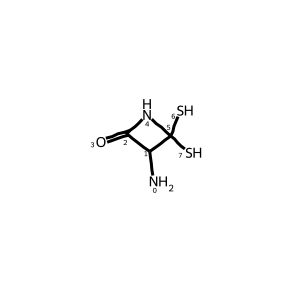 NC1C(=O)NC1(S)S